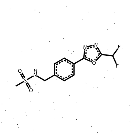 CS(=O)(=O)NCc1ccc(-c2nnc(C(F)F)o2)cc1